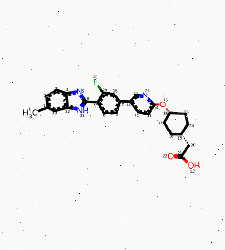 Cc1ccc2nc(-c3ccc(-c4ccc(O[C@H]5CC[C@@H](CC(=O)O)CC5)nc4)cc3F)[nH]c2c1